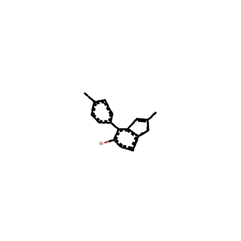 CC1=Cc2c(ccc(Br)c2-c2ccc(C)cc2)C1